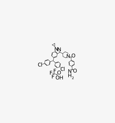 NC(=O)c1ccc(C(=O)N2CCC(c3nn(C4CC4)c4ccc(C(c5ccc(Cl)cc5)c5ccc(Cl)cc5)cc34)CC2)cc1.O=C(O)C(F)(F)F